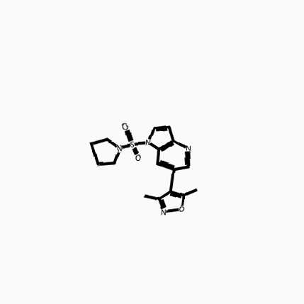 Cc1noc(C)c1-c1cnc2ccn(S(=O)(=O)N3CCCC3)c2c1